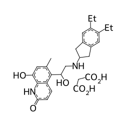 CCc1cc2c(cc1CC)CC(NCC(O)c1c(C)cc(O)c3[nH]c(=O)ccc13)C2.O=C(O)CC(=O)O